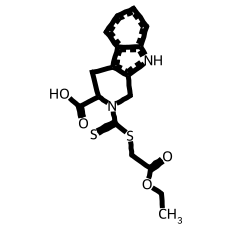 CCOC(=O)CSC(=S)N1Cc2[nH]c3ccccc3c2CC1C(=O)O